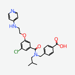 CC(C)CN(Cc1ccc(C(=O)O)cc1)C(=O)c1cc(Cl)cc(OCCNc2ccncc2)c1